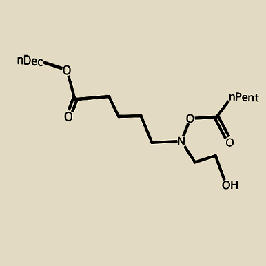 CCCCCCCCCCOC(=O)CCCCN(CCO)OC(=O)CCCCC